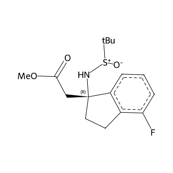 COC(=O)C[C@]1(N[S+]([O-])C(C)(C)C)CCc2c(F)cccc21